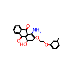 Cc1cccc(OCCOc2cc(O)c3c(c2N)C(=O)c2ccccc2C3=O)c1